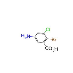 Nc1cc(Cl)c(Br)c(C(=O)O)c1